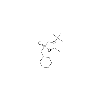 CCOP(=O)(COC(C)(C)C)CC1CCCCC1